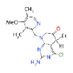 CCC1(CC)C(=O)CN(Cc2ncc(C)c(OC)c2C)c2nc(N)nc(Cl)c21